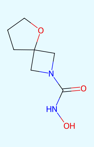 O=C(NO)N1CC2(CCCO2)C1